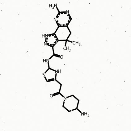 CC1(C)Cc2cnc(N)nc2-c2[nH]nc(C(=O)NC3NC(CC(=O)N4CCC(N)CC4)=CS3)c21